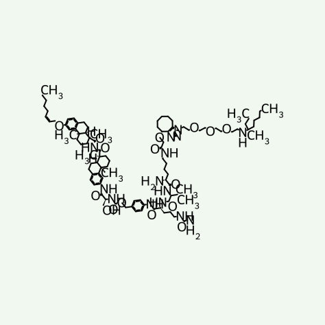 CCCCC/C=C\COc1ccc2c(c1)[C@@]1(C)CCC[C@](C)(C(=O)NC(=O)[C@@]3(C)CCC[C@]4(C)c5cc(NC(=O)[C@H](CO)NC(=O)OCc6ccc(NC(=O)[C@H](CCCNC(N)=O)NC(=O)[C@@H](NC(=O)[C@H](N)CCCCNC(=O)COC7CCCCCc8c7nnn8CCOCCOCCOCCNC(C)(CCC)CCCCC)C(C)C)cc6)ccc5CC[C@@H]34)[C@@H]1CC2